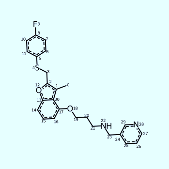 Cc1c(CSc2ccc(F)cc2)oc2cccc(OCCCNCc3cccnc3)c12